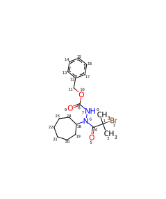 CC(C)(Br)C(=O)N(NC(=O)OCc1ccccc1)C1CCCCCC1